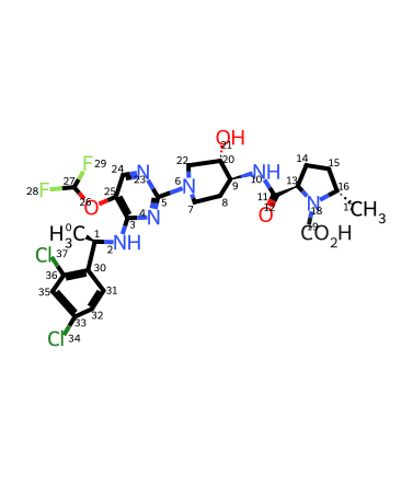 C[C@@H](Nc1nc(N2CC[C@H](NC(=O)[C@H]3CC[C@H](C)N3C(=O)O)[C@@H](O)C2)ncc1OC(F)F)c1ccc(Cl)cc1Cl